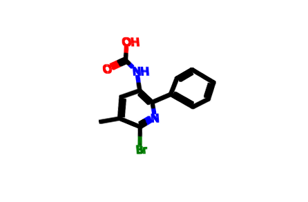 Cc1cc(NC(=O)O)c(-c2ccccc2)nc1Br